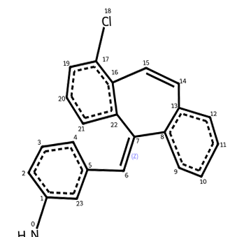 Nc1cccc(/C=C2/c3ccccc3C=Cc3c(Cl)cccc32)c1